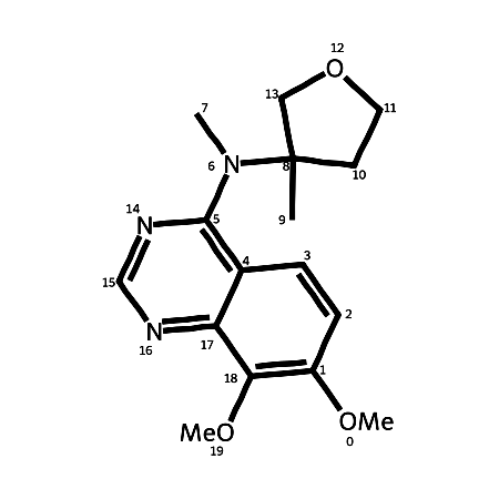 COc1ccc2c(N(C)C3(C)CCOC3)ncnc2c1OC